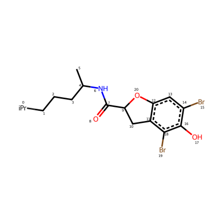 CC(C)CCCC(C)NC(=O)C1Cc2c(cc(Br)c(O)c2Br)O1